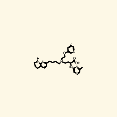 Cc1cncc(NC(CCN(CCCCc2ccc3c(n2)NCCC3)CCOc2cncc(F)c2)C(=O)O)n1